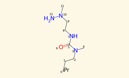 CC(C)CCN(C)C(=O)NCCN(C)N